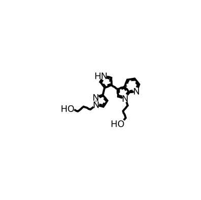 OCCCn1ccc(-c2c[nH]cc2-c2cn(CCCO)c3ncccc23)n1